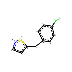 Clc1ccc(Cc2ccns2)cc1